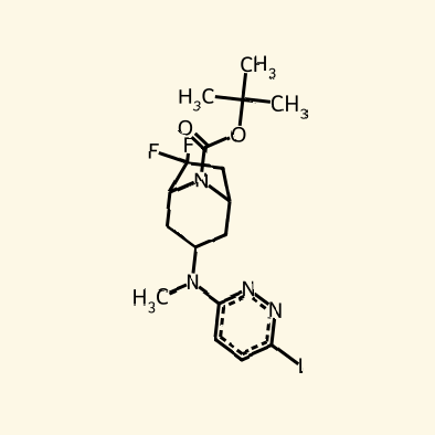 CN(c1ccc(I)nn1)C1CC2CC(F)(F)C(C1)N2C(=O)OC(C)(C)C